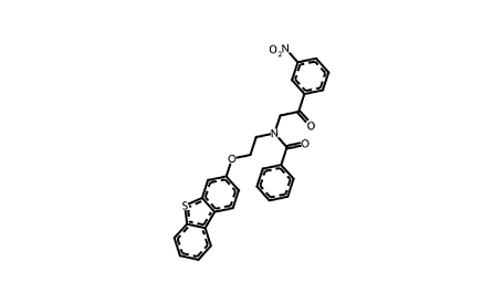 O=C(CN(CCOc1ccc2c(c1)sc1ccccc12)C(=O)c1ccccc1)c1cccc([N+](=O)[O-])c1